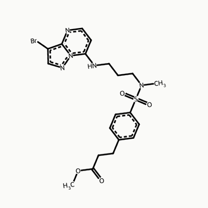 COC(=O)CCc1ccc(S(=O)(=O)N(C)CCCNc2ccnc3c(Br)cnn23)cc1